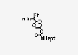 CCCCCCCC(=O)OC1COC(C(CC)CCCC)OC1